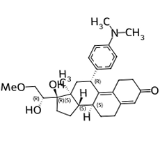 COC[C@@H](O)[C@@]1(O)CC[C@H]2[C@@H]3CCC4=CC(=O)CCC4=C3[C@@H](c3ccc(N(C)C)cc3)C[C@@]21C